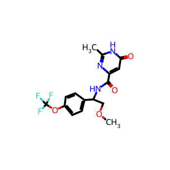 COCC(NC(=O)c1cc(=O)[nH]c(C)n1)c1ccc(OC(F)(F)F)cc1